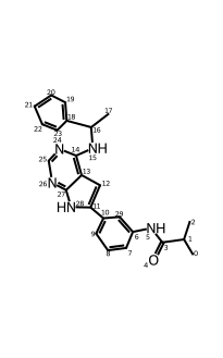 CC(C)C(=O)Nc1cccc(-c2cc3c(NC(C)c4ccccc4)ncnc3[nH]2)c1